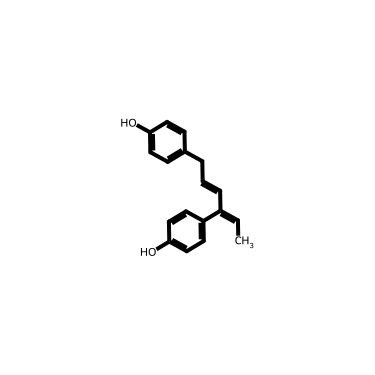 CC=C(C=CCc1ccc(O)cc1)c1ccc(O)cc1